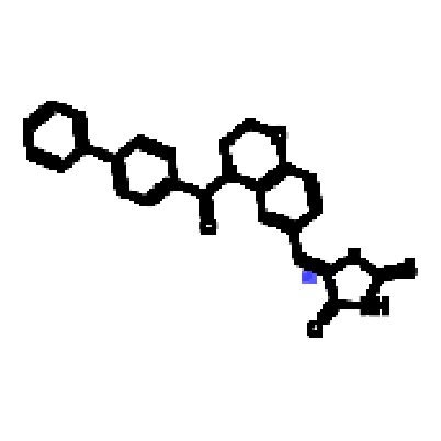 O=C1NC(=S)S/C1=C\c1ccc2c(c1)N(C(=O)c1ccc(-c3ccccc3)cc1)CCO2